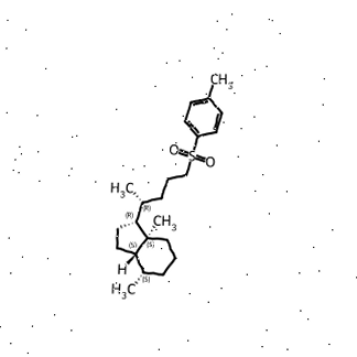 Cc1ccc(S(=O)(=O)CCC[C@@H](C)[C@H]2CC[C@H]3[C@@H](C)CCC[C@]23C)cc1